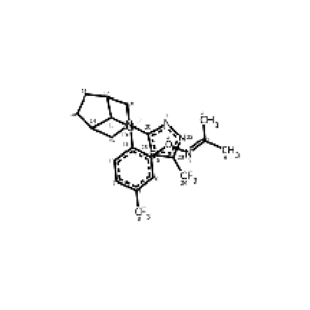 CC(C)=NOc1cc(C(F)(F)F)ccc1OC1C2CCC1CN(c1nnc(C(F)(F)F)s1)C2